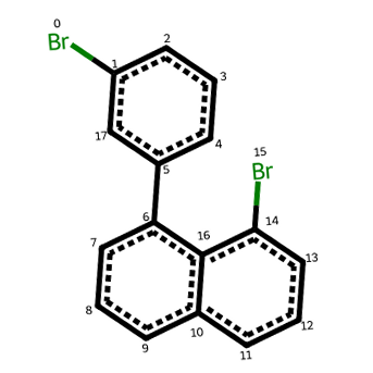 Brc1cccc(-c2cccc3cccc(Br)c23)c1